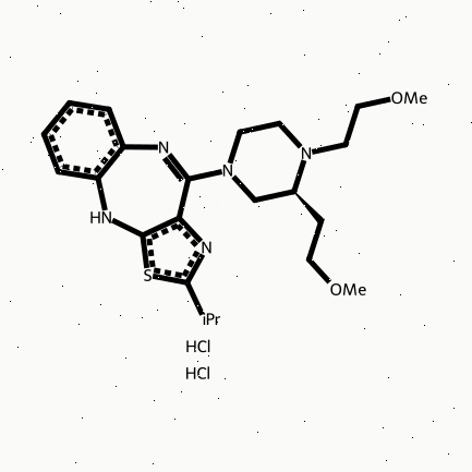 COCC[C@H]1CN(C2=Nc3ccccc3Nc3sc(C(C)C)nc32)CCN1CCOC.Cl.Cl